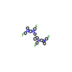 Fc1ccc(N(c2ccc(-c3ccc(N(c4ccc(F)cc4)c4ccc5c(c4)c4ccccc4n5-c4ccc(F)cc4)c4ccccc34)cc2)c2ccc3c(c2)c2ccccc2n3-c2ccc(F)cc2)cc1